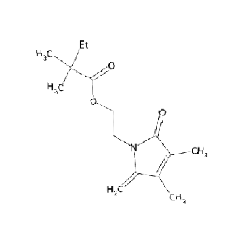 C=C1C(C)=C(C)C(=O)N1CCOC(=O)C(C)(C)CC